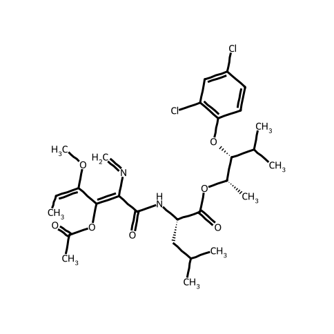 C=N/C(C(=O)N[C@@H](CC(C)C)C(=O)O[C@@H](C)[C@H](Oc1ccc(Cl)cc1Cl)C(C)C)=C(OC(C)=O)\C(=C/C)OC